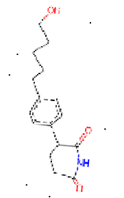 O=C1CCC(c2ccc(CCCCCO)cc2)C(=O)N1